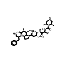 CC[C@H](C)[C@@H]([C@@H](CC(=O)N1CCCC1[C@H](OC)[C@@H](C)C(=O)NC(CO)Cc1ccccc1)OC)N(C)C(=O)C(NC(=O)N1[C@H](C)CNC[C@@H]1C)C(C)C